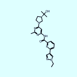 CCn1cc(-c2cccc(C(=O)Nc3cc(N4CC[C@@H](C(C)(C)O)C4)nc(C)n3)n2)cn1